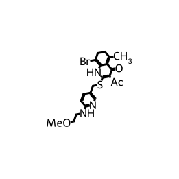 COCCNc1ccc(CSc2[nH]c3c(c(=O)c2C(C)=O)=C(C)CCC=3Br)cn1